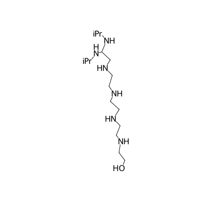 CC(C)NC(CNCCNCCNCCNCCO)NC(C)C